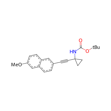 COc1ccc2cc(C#CC3(NC(=O)OC(C)(C)C)CC3)ccc2c1